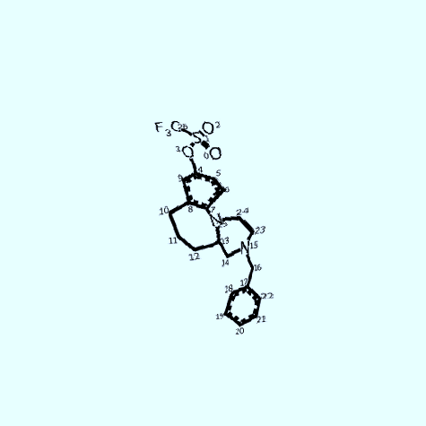 O=S(=O)(Oc1ccc2c(c1)CCCC1CN(Cc3ccccc3)CCN21)C(F)(F)F